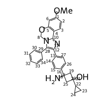 COc1ccc2c(c1)OCn1c-2nc(-c2ccc(C3(N)CC(O)(C4CC4)C3)cc2)c1-c1ccccc1